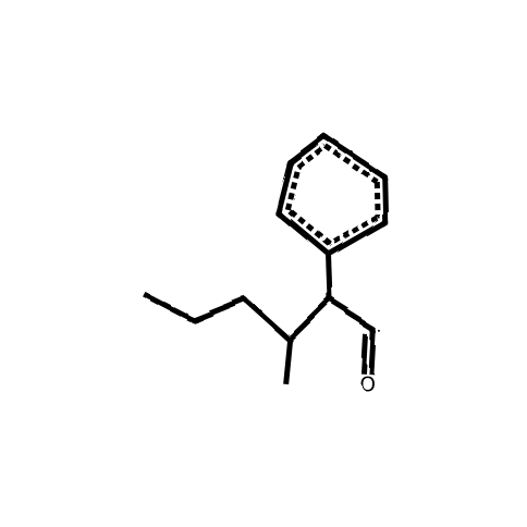 CCCC(C)C([C]=O)c1ccccc1